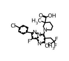 Cc1nc2c(F)c(-c3ccc(Cl)cc3)nn2c(N2CCCC(C)(C(=O)O)C2)c1CC(F)(F)F